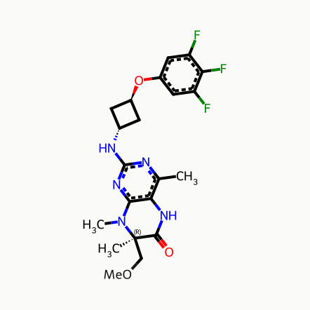 COC[C@]1(C)C(=O)Nc2c(C)nc(N[C@H]3C[C@H](Oc4cc(F)c(F)c(F)c4)C3)nc2N1C